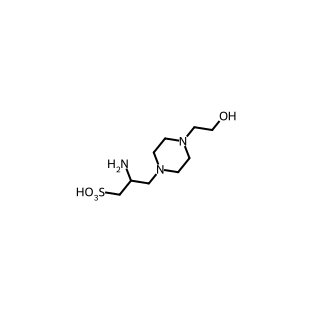 NC(CN1CCN(CCO)CC1)CS(=O)(=O)O